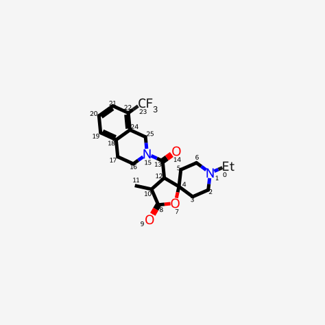 CCN1CCC2(CC1)OC(=O)C(C)C2C(=O)N1CCc2cccc(C(F)(F)F)c2C1